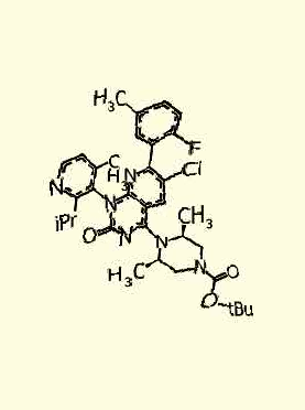 Cc1ccc(F)c(-c2nc3c(cc2Cl)c(N2[C@H](C)CN(C(=O)OC(C)(C)C)C[C@@H]2C)nc(=O)n3-c2c(C)ccnc2C(C)C)c1